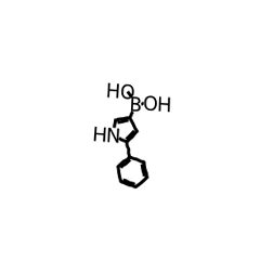 OB(O)c1c[nH]c(-c2ccccc2)c1